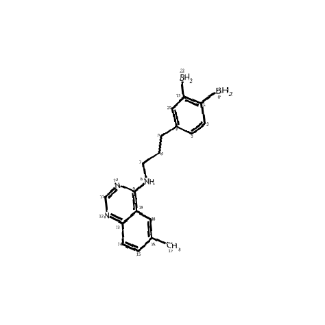 Bc1ccc(CCCNc2ncnc3ccc(C)cc23)cc1B